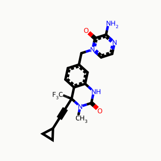 CN1C(=O)Nc2cc(Cn3ccnc(N)c3=O)ccc2C1(C#CC1CC1)C(F)(F)F